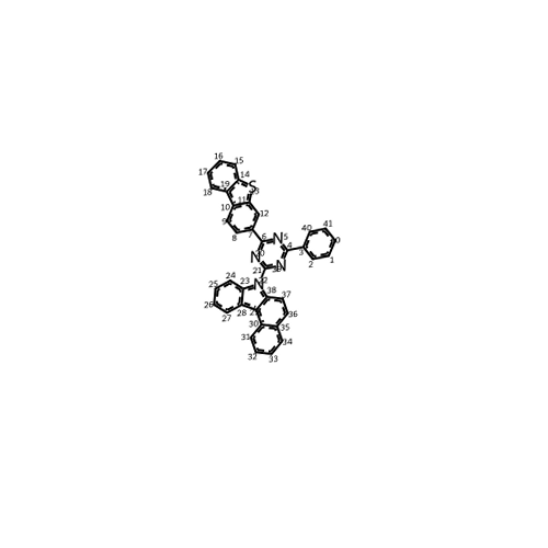 c1ccc(-c2nc(-c3ccc4c(c3)sc3ccccc34)nc(-n3c4ccccc4c4c5ccccc5ccc43)n2)cc1